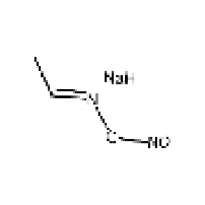 CC=NON=O.[NaH]